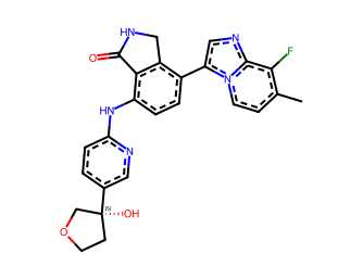 Cc1ccn2c(-c3ccc(Nc4ccc([C@@]5(O)CCOC5)cn4)c4c3CNC4=O)cnc2c1F